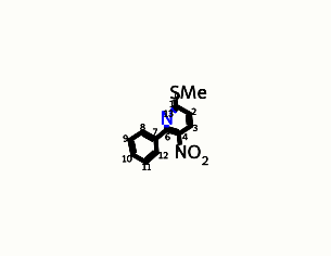 CSc1ccc([N+](=O)[O-])c(-c2ccccc2)n1